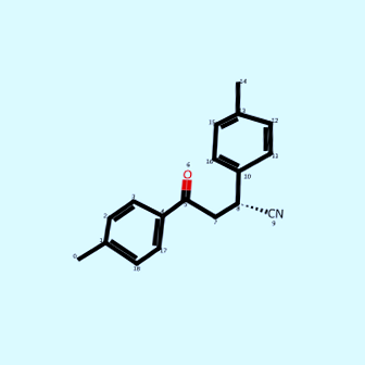 Cc1ccc(C(=O)C[C@@H](C#N)c2ccc(C)cc2)cc1